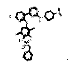 CN(C)[C@H]1CC[C@H](Nc2nccc(-c3cccnc3Oc3cc(F)c(NS(=O)(=O)Cc4ccccc4)c(F)c3F)n2)CC1.Cl